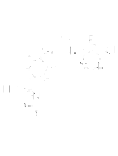 CC(=O)N[C@@H](C)c1ccc(O[C@@H]2CCN(c3ncnc(Cl)c3F)C2)cc1